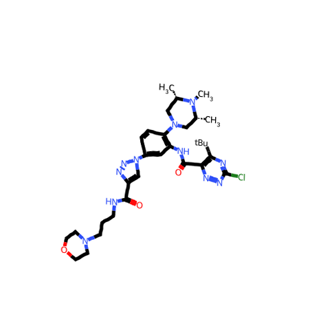 C[C@@H]1CN(c2ccc(-n3cc(C(=O)NCCCN4CCOCC4)nn3)cc2NC(=O)c2nnc(Cl)nc2C(C)(C)C)C[C@H](C)N1C